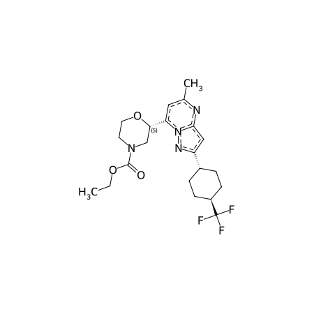 CCOC(=O)N1CCO[C@H](c2cc(C)nc3cc([C@H]4CC[C@H](C(F)(F)F)CC4)nn23)C1